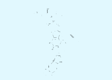 CC#CCn1c(N2CCCC(C(=O)OC(C)(C)C)C2N)nc2c1c(=O)n(Cc1nc3cc(Cl)ccc3s1)c(=O)n2C